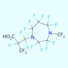 O=C(O)C(F)(C(F)(F)F)C(F)(F)N1C(F)(F)C(F)(F)N(C(F)(F)F)C(F)(F)C(F)(F)C1(F)F